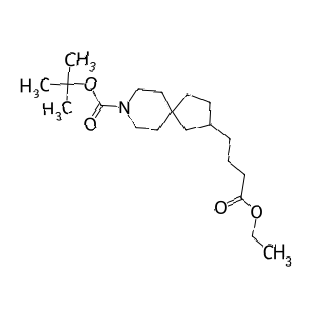 CCOC(=O)CCCC1CCC2(CCN(C(=O)OC(C)(C)C)CC2)C1